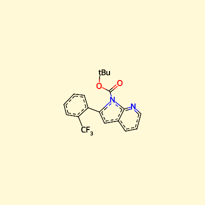 CC(C)(C)OC(=O)n1c(-c2ccccc2C(F)(F)F)cc2cccnc21